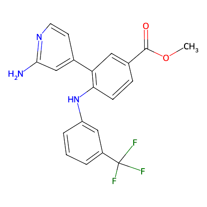 COC(=O)c1ccc(Nc2cccc(C(F)(F)F)c2)c(-c2ccnc(N)c2)c1